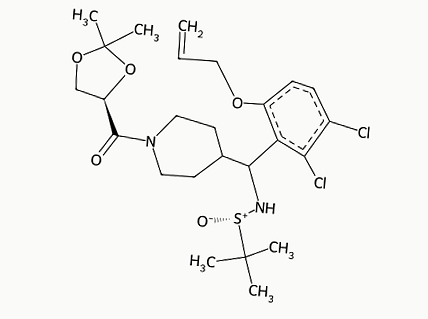 C=CCOc1ccc(Cl)c(Cl)c1C(N[S@@+]([O-])C(C)(C)C)C1CCN(C(=O)[C@H]2COC(C)(C)O2)CC1